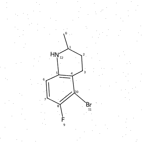 CC1CCc2c(ccc(F)c2Br)N1